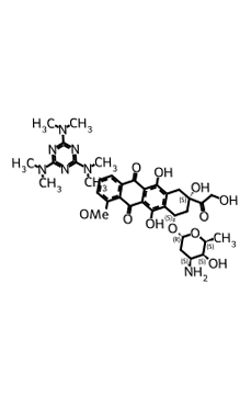 CN(C)c1nc(N(C)C)nc(N(C)C)n1.COc1cccc2c1C(=O)c1c(O)c3c(c(O)c1C2=O)C[C@@](O)(C(=O)CO)C[C@@H]3O[C@H]1C[C@H](N)[C@H](O)[C@H](C)O1